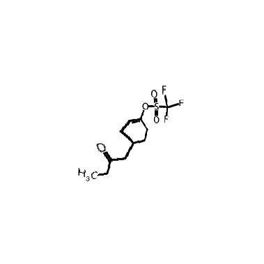 CCC(=O)CC1CC=C(OS(=O)(=O)C(F)(F)F)CC1